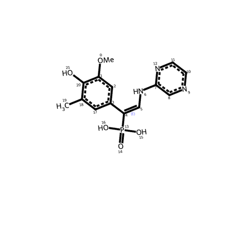 COc1cc(/C(=C\Nc2cnccn2)P(=O)(O)O)cc(C)c1O